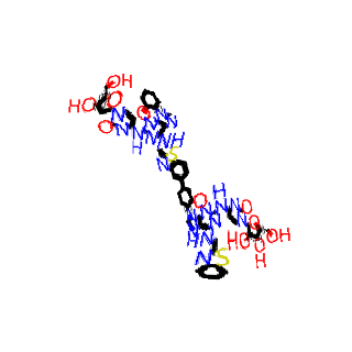 O=C1CCCC[C@H]1n1cnc2c(NCc3nc4cc(C5CC[C@@H](n6cnc7c(NCc8nc9ccccc9s8)nc(Nc8ccn(C9O[C@H](CO)[C@@H](O)[C@H]9O)c(=O)n8)nc76)C(=O)C5)ccc4s3)nc(Nc3ccn(C4C[C@H](O)[C@@H](CO)O4)c(=O)n3)nc21